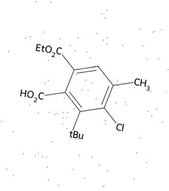 CCOC(=O)c1cc(C)c(Cl)c(C(C)(C)C)c1C(=O)O